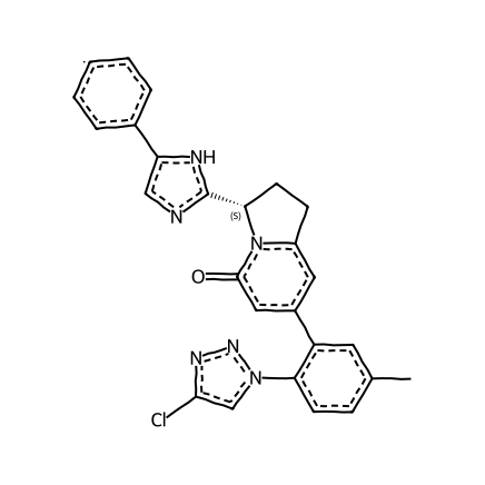 Cc1ccc(-n2cc(Cl)nn2)c(-c2cc3n(c(=O)c2)[C@H](c2ncc(-c4cc[c]cc4)[nH]2)CC3)c1